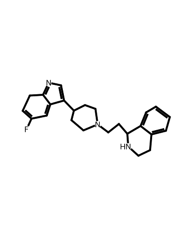 FC1=CCC2=NC=C(C3CCN(CCC4NCCc5ccccc54)CC3)C2=C1